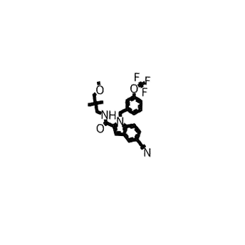 COCC(C)(C)CNC(=O)c1cc2cc(C#N)ccc2n1Cc1cccc(OC(F)(F)F)c1